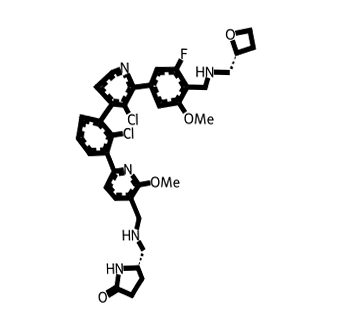 COc1cc(-c2nccc(-c3cccc(-c4ccc(CNC[C@@H]5CCC(=O)N5)c(OC)n4)c3Cl)c2Cl)cc(F)c1CNC[C@H]1CCO1